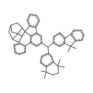 CC1(C)CCC(C)(C)c2cc(N(c3cc(-c4ccccc4)c4c(c3)-c3ccccc3C43C4CC5CC6CC3C64C5)c3ccc4c(c3)C(C)(C)c3ccccc3-4)ccc21